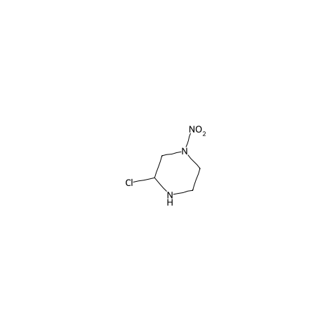 O=[N+]([O-])N1CCNC(Cl)C1